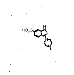 CN1CCN(c2n[nH]c3cc(C(=O)O)ccc23)CC1